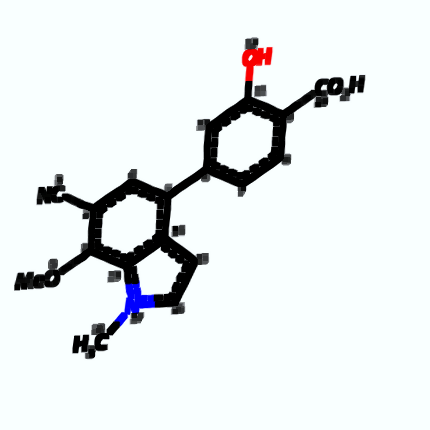 COc1c(C#N)cc(-c2ccc(C(=O)O)c(O)c2)c2ccn(C)c12